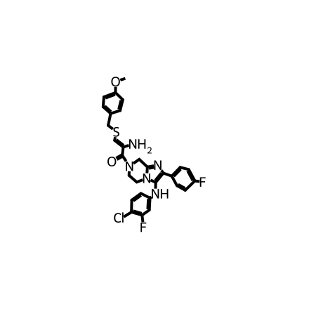 COc1ccc(CS/C=C(\N)C(=O)N2CCn3c(nc(-c4ccc(F)cc4)c3Nc3ccc(Cl)c(F)c3)C2)cc1